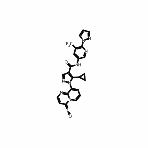 O=C=C1C=CN=C2C(n3ncc(C(=O)Nc4cnc(-n5cccn5)c(C(F)(F)F)c4)c3C3CC3)=CC=CN12